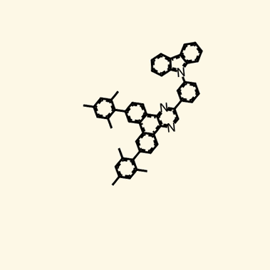 Cc1cc(C)c(-c2ccc3c(c2)c2cc(-c4c(C)cc(C)cc4C)ccc2c2nc(-c4cccc(-n5c6ccccc6c6ccccc65)c4)cnc32)c(C)c1